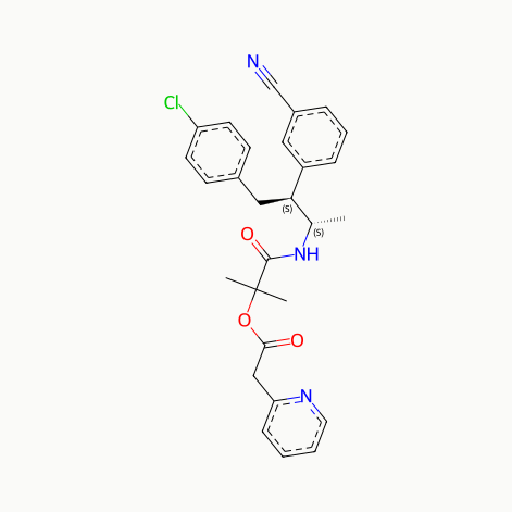 C[C@H](NC(=O)C(C)(C)OC(=O)Cc1ccccn1)[C@@H](Cc1ccc(Cl)cc1)c1cccc(C#N)c1